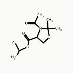 CC(=O)N1C(C(=O)OC(C)Cl)CSC1(C)C